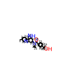 Cc1ccc(C2(CN)CCC(N(C(=O)c3ccc(C(C)(C)O)cc3)C3CC3)CC2)nc1